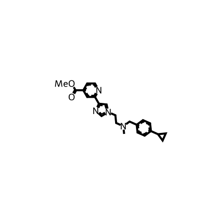 COC(=O)c1ccnc(-c2cn(CCN(C)Cc3ccc(C4CC4)cc3)cn2)c1